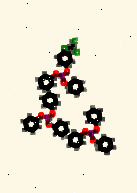 [Cl][Ir]([Cl])[Cl].c1ccc(OP(Oc2ccccc2)Oc2ccccc2)cc1.c1ccc(OP(Oc2ccccc2)Oc2ccccc2)cc1.c1ccc(OP(Oc2ccccc2)Oc2ccccc2)cc1